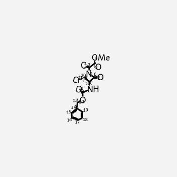 COC(=O)C(=O)N1C(=O)[C@@H](NC(=O)OCc2ccccc2)[C@H]1Cl